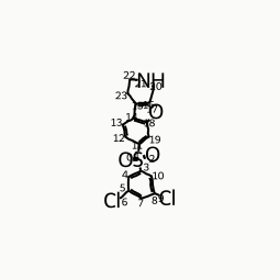 O=S(=O)(c1cc(Cl)cc(Cl)c1)c1ccc2c3c(oc2c1)CNCC3